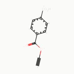 C#COC(=O)c1ccc(C(=O)O)cc1